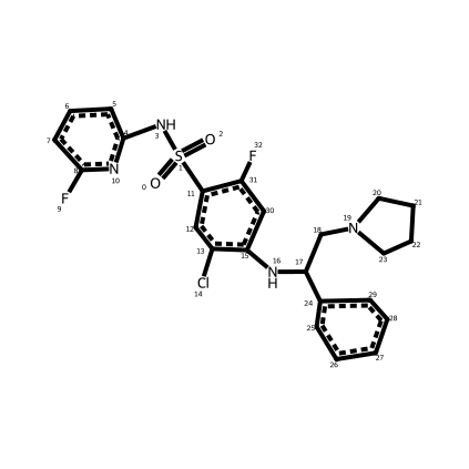 O=S(=O)(Nc1cccc(F)n1)c1cc(Cl)c(NC(CN2CCCC2)c2ccccc2)cc1F